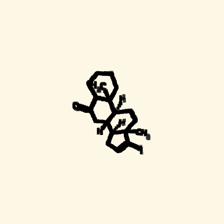 C[C@]12CCCCC1C(=O)C[C@@H]1[C@@H]2CC[C@]2(C)C(I)=CC[C@@H]12